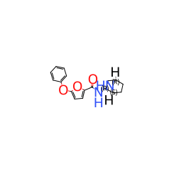 O=C(N[C@@H]1C[C@H]2CC[C@@H]1N2)c1ccc(Oc2ccccc2)o1